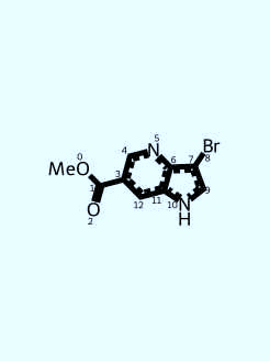 COC(=O)c1cnc2c(Br)c[nH]c2c1